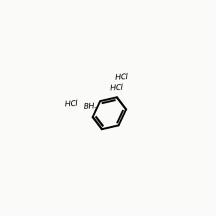 B.Cl.Cl.Cl.c1ccccc1